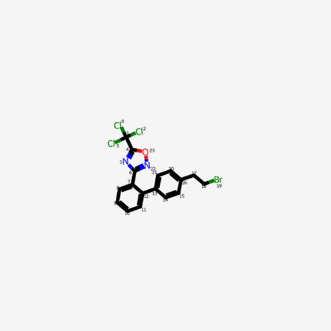 ClC(Cl)(Cl)c1nc(-c2ccccc2-c2ccc(CCBr)cc2)no1